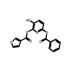 N#Cc1ccc(OC(=O)c2ccccc2)nc1OC(=O)c1c[c]oc1